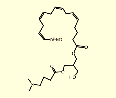 CCCCC/C=C\C/C=C\C/C=C\C/C=C\CCCC(=O)OCC(CO)COC(=O)CCCN(C)C